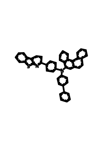 c1ccc(-c2ccc(N(c3ccc(-c4ccc5c(n4)sc4ccccc45)cc3)c3cc4ccc5ccccc5c4c4ccccc34)cc2)cc1